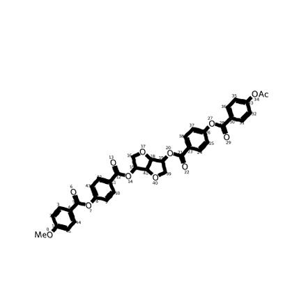 COc1ccc(C(=O)Oc2ccc(C(=O)OC3COC4C(OC(=O)c5ccc(OC(=O)c6ccc(OC(C)=O)cc6)cc5)COC34)cc2)cc1